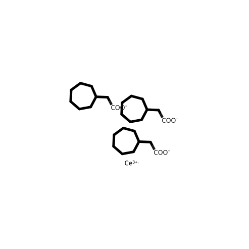 O=C([O-])CC1CCCCCC1.O=C([O-])CC1CCCCCC1.O=C([O-])CC1CCCCCC1.[Ce+3]